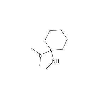 CNC1(N(C)C)CCCCC1